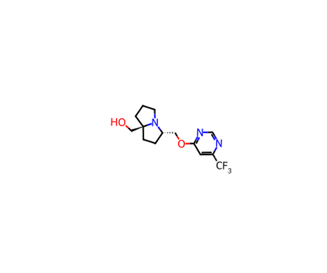 OC[C@@]12CCCN1[C@H](COc1cc(C(F)(F)F)ncn1)CC2